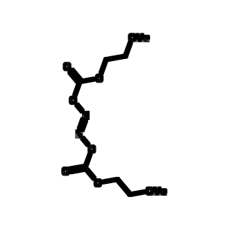 COCCOC(=O)ON=NOC(=O)OCCOC